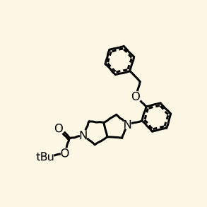 CC(C)(C)OC(=O)N1CC2CN(c3ccccc3OCc3ccccc3)CC2C1